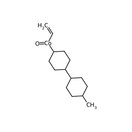 C=[CH][Co](=[O])[CH]1CCC(C2CCC(C)CC2)CC1